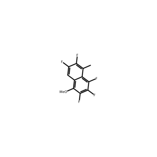 COc1c(F)c(F)c(F)c2c(C)c(F)c(F)cc12